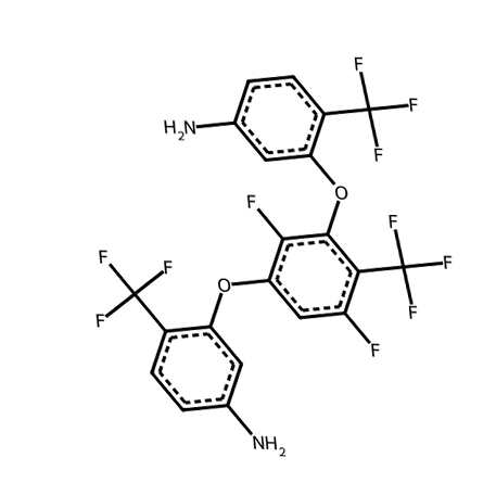 Nc1ccc(C(F)(F)F)c(Oc2cc(F)c(C(F)(F)F)c(Oc3cc(N)ccc3C(F)(F)F)c2F)c1